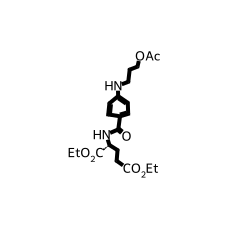 CCOC(=O)CC[C@@H](NC(=O)c1ccc(NCCCOC(C)=O)cc1)C(=O)OCC